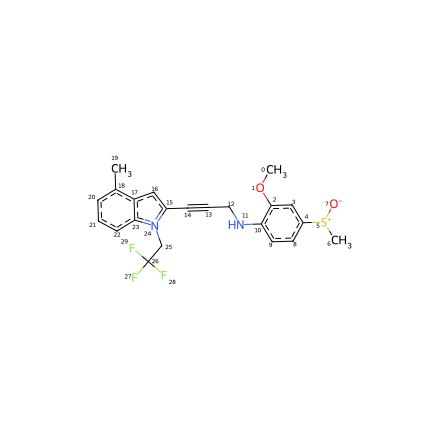 COc1cc([S+](C)[O-])ccc1NCC#Cc1cc2c(C)cccc2n1CC(F)(F)F